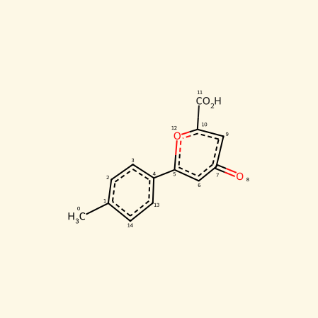 Cc1ccc(-c2cc(=O)cc(C(=O)O)o2)cc1